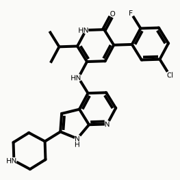 CC(C)c1[nH]c(=O)c(-c2cc(Cl)ccc2F)cc1Nc1ccnc2[nH]c(C3CCNCC3)cc12